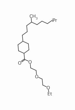 CCOCCOCCOC(=O)C1CCC(CCCC(C)CCCC(C)C)CC1